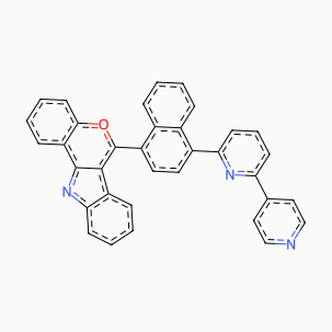 c1cc(-c2ccncc2)nc(-c2ccc(-c3oc4ccccc4c4nc5ccccc5c3-4)c3ccccc23)c1